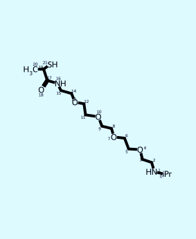 CC(C)NCCOCCOCCOCCOCCNC(=O)C(C)S